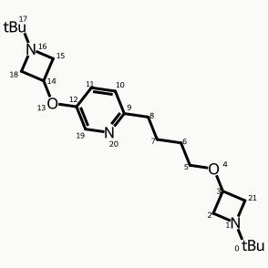 CC(C)(C)N1CC(OCCCCc2ccc(OC3CN(C(C)(C)C)C3)cn2)C1